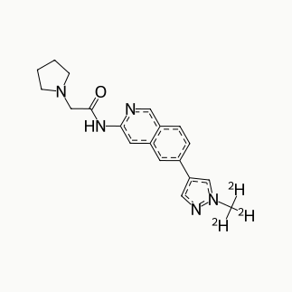 [2H]C([2H])([2H])n1cc(-c2ccc3cnc(NC(=O)CN4CCCC4)cc3c2)cn1